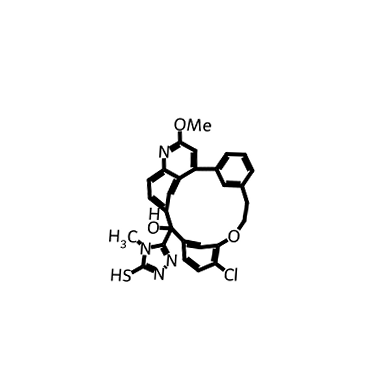 COc1cc2c3cc(ccc3n1)C(O)(c1nnc(S)n1C)c1ccc(Cl)c(c1)OCCc1cccc-2c1